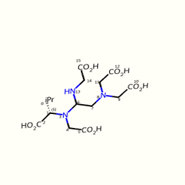 CC(C)[C@@H](C(=O)O)N(CC(=O)O)C(CN(CC(=O)O)CC(=O)O)NCC(=O)O